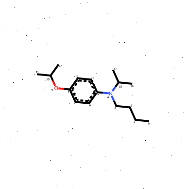 CCCCN(c1ccc(OC(C)C)cc1)C(C)C